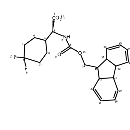 O=C(N[C@H](C(=O)O)C1CCC(F)(F)CC1)OCC1C2C=CC=CC2C2C=CC=CC21